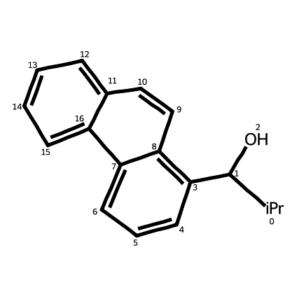 CC(C)C(O)c1cccc2c1ccc1ccccc12